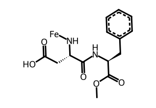 COC(=O)[C@H](Cc1ccccc1)NC(=O)[C@H](CC(=O)O)[NH][Fe]